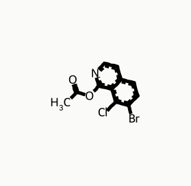 CC(=O)Oc1nccc2ccc(Br)c(Cl)c12